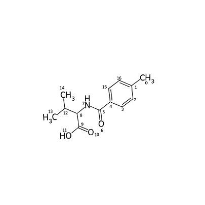 Cc1ccc(C(=O)NC(C(=O)O)C(C)C)cc1